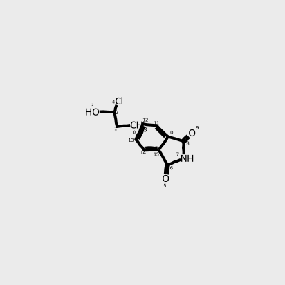 CCC(O)Cl.O=C1NC(=O)c2ccccc21